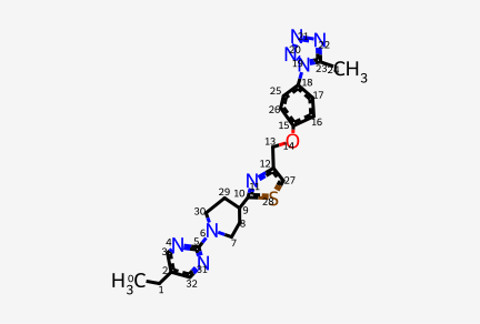 CCc1cnc(N2CCC(c3nc(COc4ccc(-n5nnnc5C)cc4)cs3)CC2)nc1